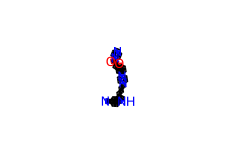 CN1CCN(C(=O)c2cc3cc(N4CCN(CCCCc5c[nH]c6ccc(C#N)cc56)CC4)ccc3o2)CC1